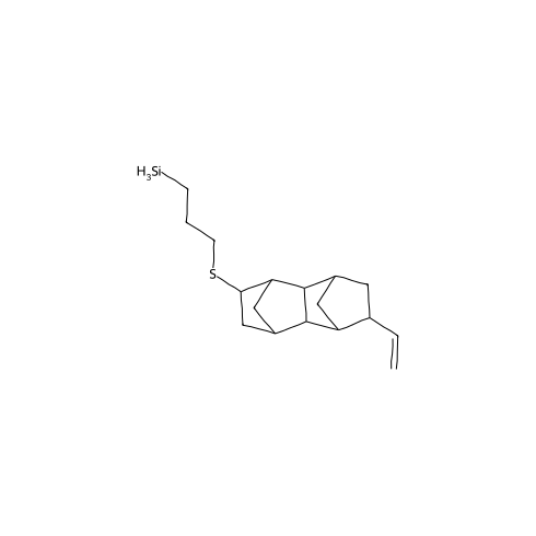 C=CC1CC2CC1C1C3CC(SCCC[SiH3])C(C3)C21